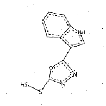 SSc1nnc(-c2c[nH]c3ccccc23)o1